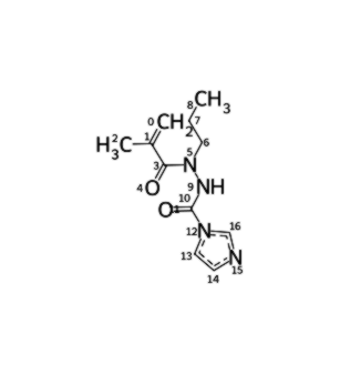 C=C(C)C(=O)N(CCC)NC(=O)n1ccnc1